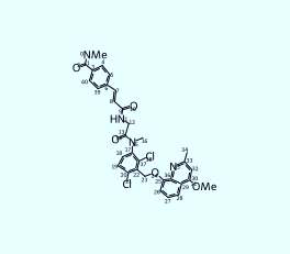 CNC(=O)c1ccc(/C=C/C(=O)NCC(=O)N(C)c2ccc(Cl)c(COc3cccc4c(OC)cc(C)nc34)c2Cl)cc1